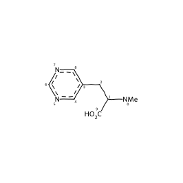 CNC(Cc1cncnc1)C(=O)O